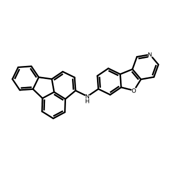 c1ccc2c(c1)-c1cccc3c(Nc4ccc5c(c4)oc4ccncc45)ccc-2c13